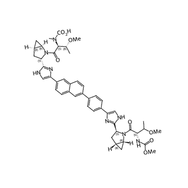 COC(=O)N[C@H](C(=O)N1[C@@H]2C[C@@H]2C[C@H]1c1nc(-c2ccc(-c3ccc4cc(-c5c[nH]c([C@@H]6C[C@H]7C[C@H]7N6C(=O)[C@H]([C@@H](C)OC)N(C)C(=O)O)n5)ccc4c3)cc2)c[nH]1)C(C)OC